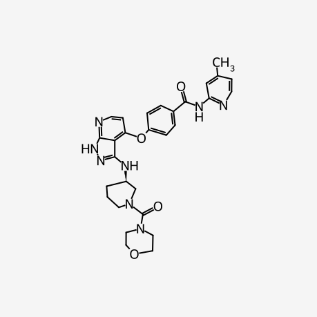 Cc1ccnc(NC(=O)c2ccc(Oc3ccnc4[nH]nc(N[C@@H]5CCCN(C(=O)N6CCOCC6)C5)c34)cc2)c1